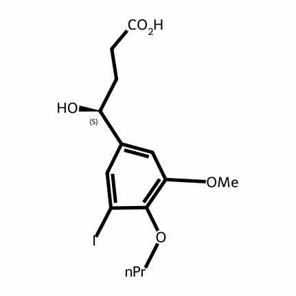 CCCOc1c(I)cc([C@@H](O)CCC(=O)O)cc1OC